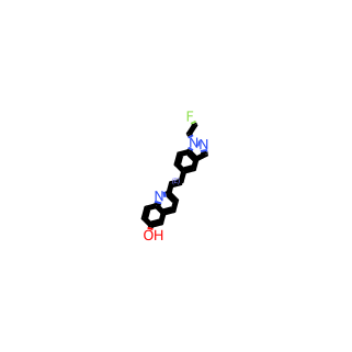 Oc1ccc2nc(/C=C/c3ccc4c(cnn4CCF)c3)ccc2c1